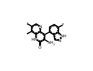 Cc1c(I)cnc2c(-c3ccc(F)c4[nH]ncc34)c(N)c(=O)[nH]c12